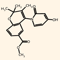 COC(=O)c1ccc2c(c1)C(n1ccc(O)cc1=O)=C(C)C(C)(C)O2